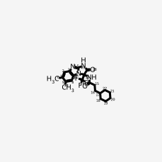 Cc1cc2nc3n(c2cc1C)C(NC(=O)CCC1CCCCC1)(C(F)(F)F)C(=O)N3